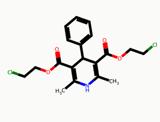 CC1=C(C(=O)OCCCl)C(c2ccccc2)C(C(=O)OCCCl)=C(C)N1